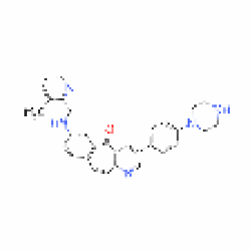 Cc1cccnc1CNC1C=Cc2ccc3ncc(-c4ccc(N5CCNCC5)cc4)cc3c(=O)c2C1